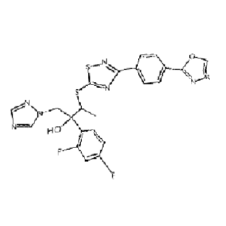 CC(Sc1nc(-c2ccc(-c3nnco3)cc2)ns1)C(O)(Cn1cncn1)c1ccc(F)cc1F